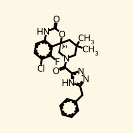 CC1(C)CN(C(=O)c2nnc(Cc3ccccc3)[nH]2)C[C@]2(C1)OC(=O)Nc1ccc(Cl)c(F)c12